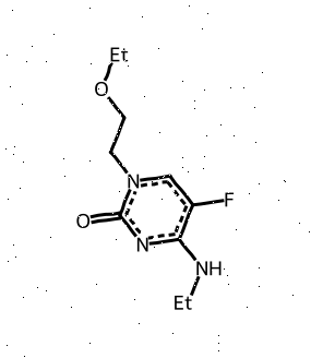 CCNc1nc(=O)n(CCOCC)cc1F